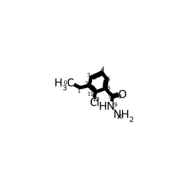 CCc1cccc(C(=O)NN)c1Cl